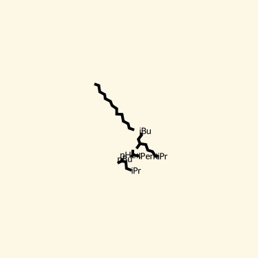 CCC(C)CCC(C)CCCCC(C)C.CCCCC(C)C(C)CCC.CCCCCCC(C)CCC(C)C.CCCCCCCCCCCCCC